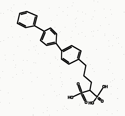 O=P(O)(O)C(CCCc1ccc(-c2ccc(-c3ccccc3)cc2)cc1)S(=O)(=O)O